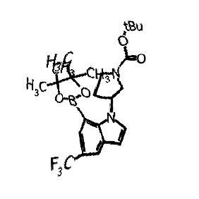 CC(C)(C)OC(=O)N1CCC(n2ccc3cc(C(F)(F)F)cc(B4OC(C)(C)C(C)(C)O4)c32)C1